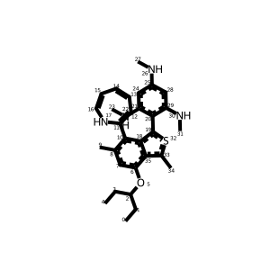 CCC(CC)Oc1cc(C)c(C2=CC=CC=CN2)c2c(-c3c(NC)cc(NC)cc3NC)sc(C)c12